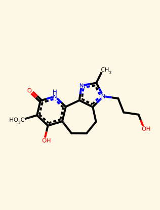 Cc1nc2c(n1CCCO)CCCc1c-2[nH]c(=O)c(C(=O)O)c1O